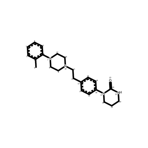 Cc1ccccc1N1CCN(CCc2ccc(N3CCCNC3=O)cc2)CC1